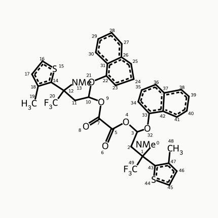 CNC(CC(OC(=O)C(=O)OC(CC(NC)(c1sccc1C)C(F)(F)F)Oc1cccc2ccccc12)Oc1cccc2ccccc12)(c1sccc1C)C(F)(F)F